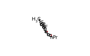 C/C=C/CCC1=C(F)C(F)C(c2ccc(OCc3ccc(C4CCC5CC(CCC)CCC5C4)cc3)c(F)c2F)C=C1